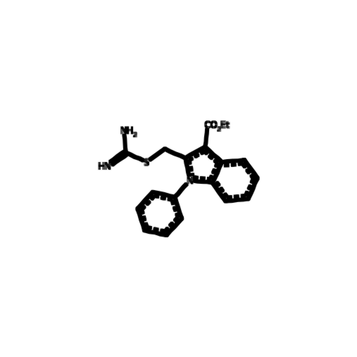 CCOC(=O)c1c(CSC(=N)N)n(-c2ccccc2)c2ccccc12